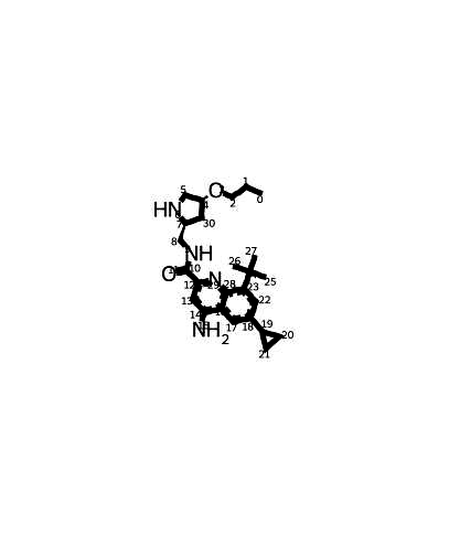 CCCO[C@H]1CN[C@H](CNC(=O)c2cc(N)c3cc(C4CC4)cc(C(C)(C)C)c3n2)C1